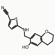 N#Cc1ccc(NCc2cc3c(cc2O)CCCO3)s1